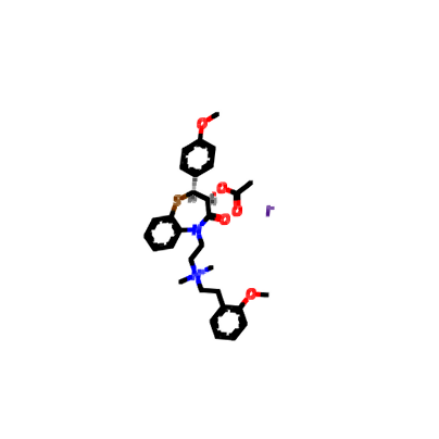 COc1ccc([C@H]2Sc3ccccc3N(CC[N+](C)(C)CCc3ccccc3OC)C(=O)[C@H]2OC(C)=O)cc1.[I-]